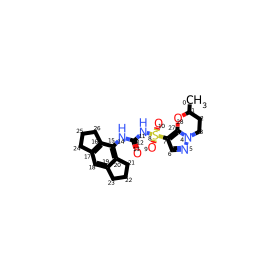 CC1CCn2ncc(S(=O)(=O)NC(=O)Nc3c4c(cc5c3CCC5)CCC4)c2O1